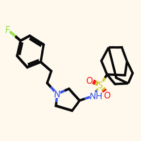 O=S(=O)(NC1CCN(CCc2ccc(F)cc2)C1)C12CC3CC(CC(C3)C1)C2